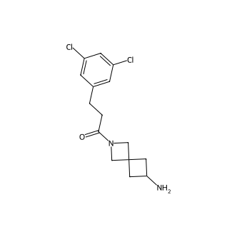 NC1CC2(C1)CN(C(=O)CCc1cc(Cl)cc(Cl)c1)C2